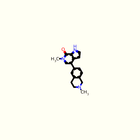 CN1CCc2cc(-c3cn(C)c(=O)c4[nH]ccc34)ccc2C1